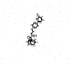 O=C(NCCCN1CCN(c2cccc(F)n2)CC1)C12CC3CC(CC(C3)C1)C2